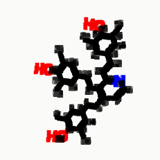 Cc1cc(C=Cc2ccnc(C=Cc3cc(C)c(O)c(C)c3)c2C=Cc2cc(C)c(O)c(C)c2)cc(C)c1O